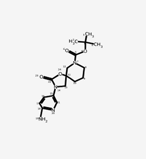 CC(C)(C)OC(=O)N1CCCC2(C1)CN(c1ccc(N)nc1)C(=O)O2